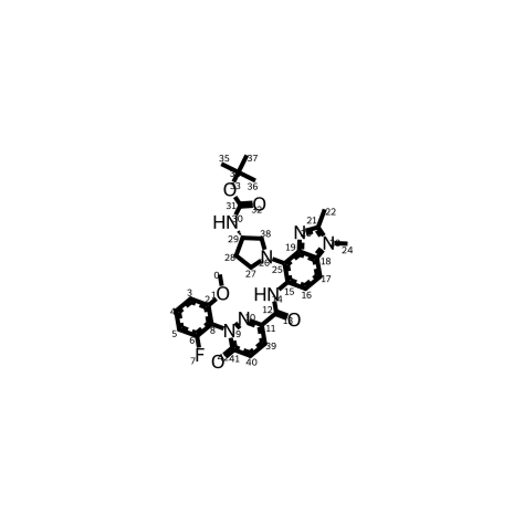 COc1cccc(F)c1-n1nc(C(=O)Nc2ccc3c(nc(C)n3C)c2N2CC[C@H](NC(=O)OC(C)(C)C)C2)ccc1=O